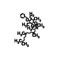 CCC(C)(CCC[C@H](C)CCC[C@H](C)CCCC(C)C)Oc1c(C)c(C)c(OCc2ccccc2)c(C)c1C